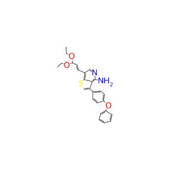 CCOC(C=Cc1cnc(N)c2c(-c3ccc(Oc4ccccc4)cc3)csc12)OCC